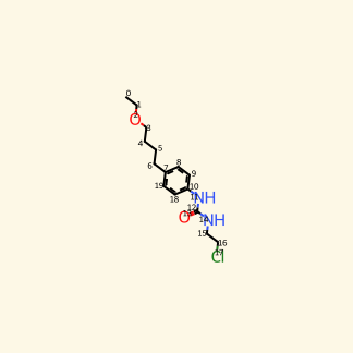 CCOCCCCc1ccc(NC(=O)NCCCl)cc1